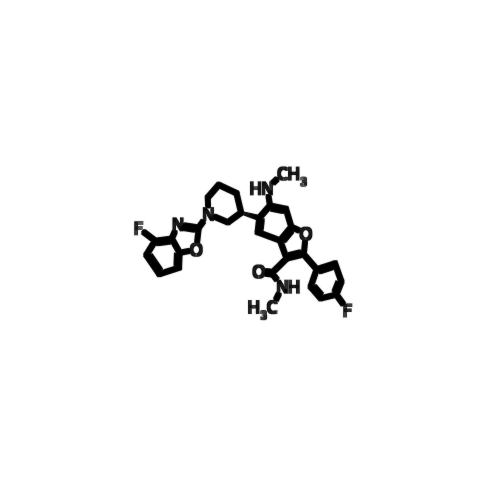 CNC(=O)c1c(-c2ccc(F)cc2)oc2cc(NC)c([C@@H]3CCCN(c4nc5c(F)cccc5o4)C3)cc12